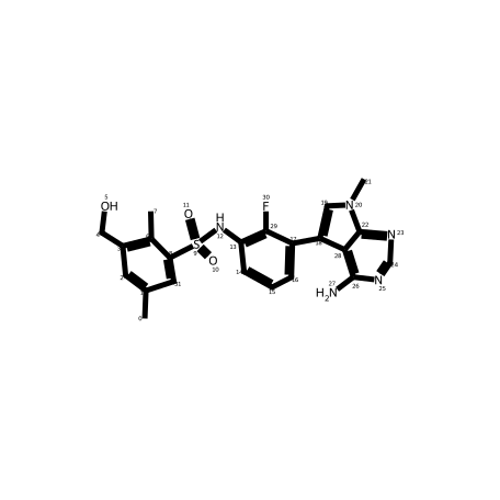 Cc1cc(CO)c(C)c(S(=O)(=O)Nc2cccc(-c3cn(C)c4ncnc(N)c34)c2F)c1